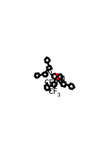 N#Cc1ccc(-n2c3ccc(-c4ccccc4)cc3c3cc(-c4ccccc4)ccc32)cc1-c1cc(-c2c(C(F)(F)F)cccc2C(F)(F)F)ccc1-n1c2ccccc2c2cc(-c3ccccc3)ccc21